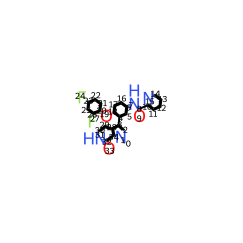 Cn1cc(-c2cc(NC(=O)c3ccccn3)ccc2Oc2ccc(F)cc2F)c2cc[nH]c(=O)c21